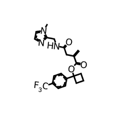 C=C(CC(=O)NCc1nccn1C)C(=O)OC1(c2ccc(C(F)(F)F)cc2)CCC1